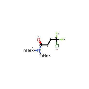 CCCCCCN(CCCCCC)C(=O)CCC(F)(F)Cl